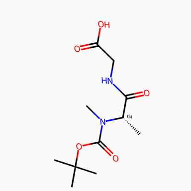 C[C@@H](C(=O)NCC(=O)O)N(C)C(=O)OC(C)(C)C